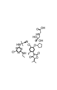 CC(C)=C1OC(=O)N(c2cc(OC3CCCC3)c(Cl)cc2F)C1=O.CCNc1nc(Cl)nc(NC(C)(C)C#N)n1.O=C(O)CNCP(=O)(O)O